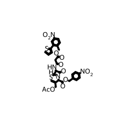 CC(=O)OCC1=CS[C@H]2C(NC(=O)CC(=O)OCc3ccc([N+](=O)[O-])cc3-c3cccs3)C(=O)N2C1C(=O)OCc1ccc([N+](=O)[O-])cc1